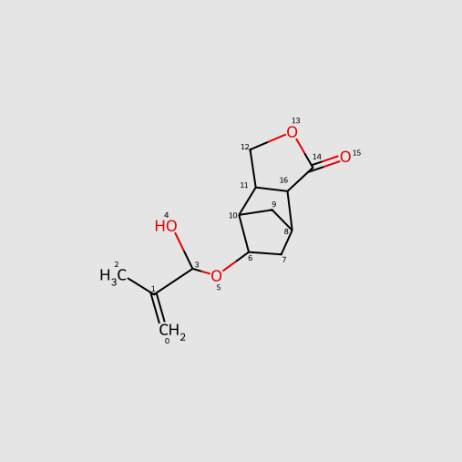 C=C(C)C(O)OC1CC2CC1C1COC(=O)C21